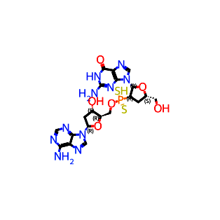 Nc1nc2c(ncn2[C@@H]2O[C@H](CO)C[C@H]2P(=S)(S)OC[C@H]2O[C@@H](n3cnc4c(N)ncnc43)C[C@@H]2O)c(=O)[nH]1